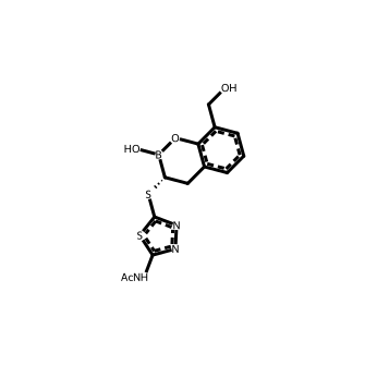 CC(=O)Nc1nnc(S[C@H]2Cc3cccc(CO)c3OB2O)s1